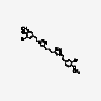 COc1ccc(CCn2cc(CCCc3cn(CCc4ccc(OC)c(Br)c4)nn3)nn2)cc1Br